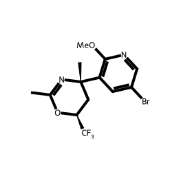 COc1ncc(Br)cc1[C@]1(C)C[C@@H](C(F)(F)F)OC(C)=N1